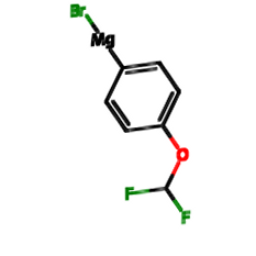 FC(F)Oc1cc[c]([Mg][Br])cc1